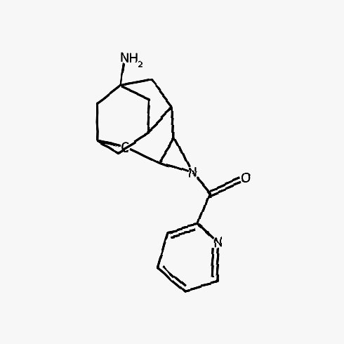 NC12CC3CC(C1)C(C2)C1C(C3)N1C(=O)c1ccccn1